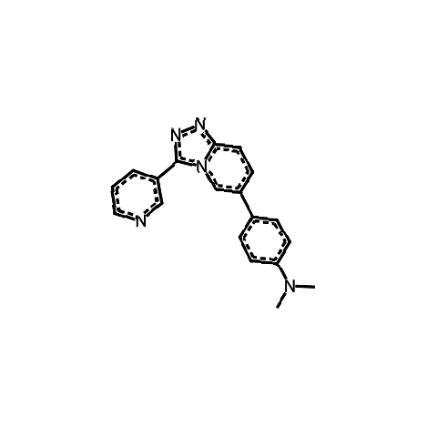 CN(C)c1ccc(-c2ccc3nnc(-c4cccnc4)n3c2)cc1